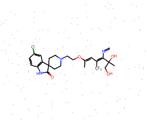 C=N/C(=C(\C=C(/C)OCCN1CCC2(CC1)C(=O)Nc1ccc(Cl)cc12)C(F)(F)F)C(C)(O)CO